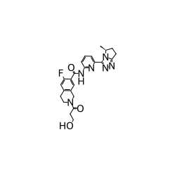 C[C@H]1CCc2nnc(-c3cccc(NC(=O)c4cc5c(cc4F)CCN(C(=O)CCO)C5)n3)n21